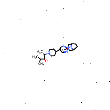 CC(C)C(=O)[C@H](C)N1CCC(c2cnc(N3C4CCC3CN(C)C4)nc2)CC1